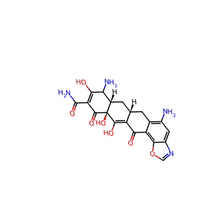 NC(=O)C1=C(O)C(N)[C@@H]2C[C@@H]3Cc4c(N)cc5ncoc5c4C(=O)C3=C(O)[C@]2(O)C1=O